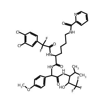 COc1ccc(C(NC(=O)C(CCCCNC(=O)c2ccccn2)NC(=O)C(F)(F)c2ccc(Cl)c(Cl)c2)C(=O)NC(C(C)C)C(O)C(F)(F)F)cc1